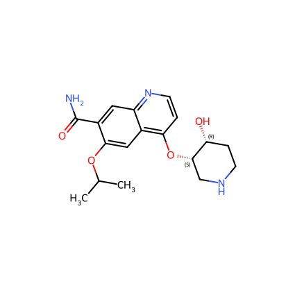 CC(C)Oc1cc2c(O[C@H]3CNCC[C@H]3O)ccnc2cc1C(N)=O